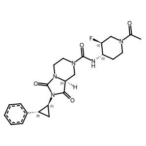 CC(=O)N1CC[C@H](NC(=O)N2CCN3C(=O)N([C@H]4C[C@@H]4c4ccccc4)C(=O)[C@@H]3C2)[C@@H](F)C1